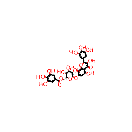 O=C(OC[C@H]1OC(Oc2cc(O)c3c(=O)c(O)c(-c4cc(O)c(O)c(O)c4)oc3c2)[C@H](O)C(O)[C@@H]1O)c1cc(O)c(O)c(O)c1